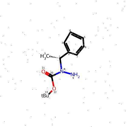 C[C@H](c1ccccc1)N(N)C(=O)OC(C)(C)C